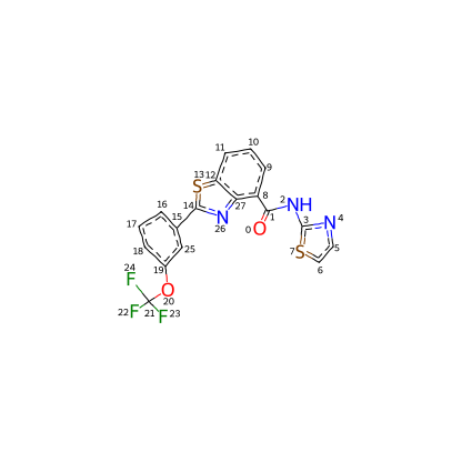 O=C(Nc1nccs1)c1cccc2sc(-c3cccc(OC(F)(F)F)c3)nc12